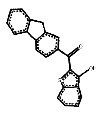 O=C(c1ccc2c(c1)Cc1ccccc1-2)c1sc2ccccc2c1O